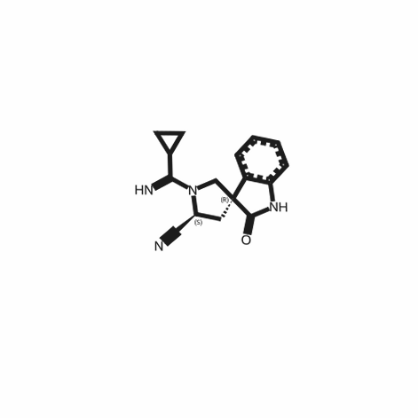 N#C[C@@H]1C[C@@]2(CN1C(=N)C1CC1)C(=O)Nc1ccccc12